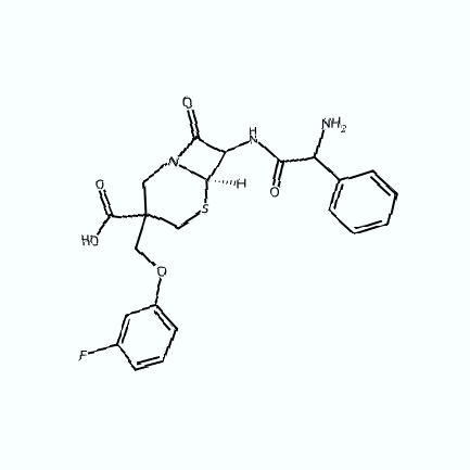 NC(C(=O)NC1C(=O)N2CC(COc3cccc(F)c3)(C(=O)O)CS[C@H]12)c1ccccc1